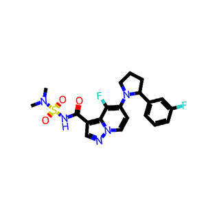 CN(C)S(=O)(=O)NC(=O)c1cnn2ccc(N3CCCC3c3cccc(F)c3)c(F)c12